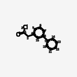 O=C(Cl)Cc1cccc(-c2ccccc2)c1